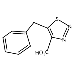 O=C(O)c1nnsc1Cc1ccccc1